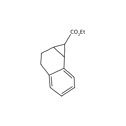 CCOC(=O)C1C2CCc3ccccc3C21